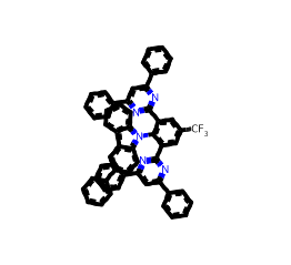 FC(F)(F)c1cc(-c2nc(-c3ccccc3)cc(-c3ccccc3)n2)c(-n2c3ccccc3c3cc(-c4ccccc4)ccc32)c(-c2nc(-c3ccccc3)cc(-c3ccccc3)n2)c1